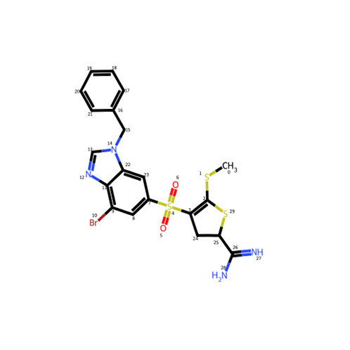 CSC1=C(S(=O)(=O)c2cc(Br)c3ncn(Cc4ccccc4)c3c2)CC(C(=N)N)S1